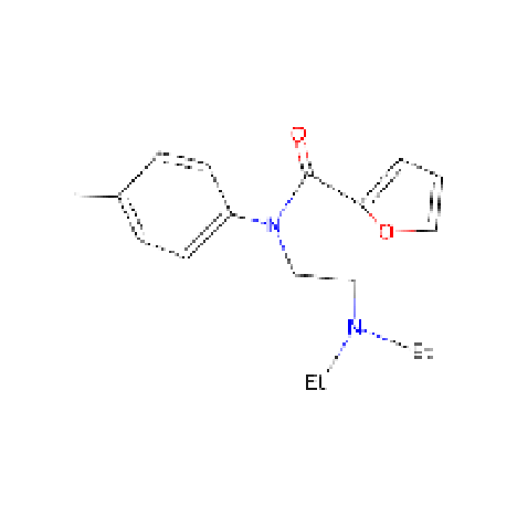 CCN(CC)CCN(C(=O)c1ccco1)c1ccc(C)cc1